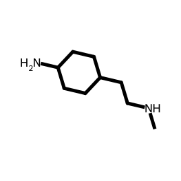 CNCCC1CCC(N)CC1